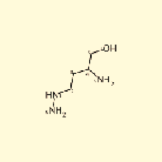 NNCCC(N)CO